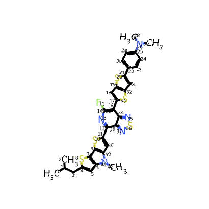 CC(C)Cc1cc2c(s1)c1sc(-c3nc(F)c(-c4cc5sc(-c6ccc(N(C)C)cc6)cc5s4)c4nsnc34)cc1n2C